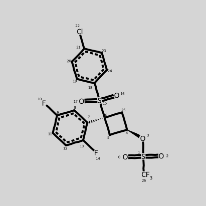 O=S(=O)(O[C@H]1C[C@@](c2cc(F)ccc2F)(S(=O)(=O)c2ccc(Cl)cc2)C1)C(F)(F)F